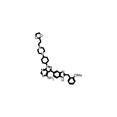 COc1ccccc1Cc1nc2cc(-c3nn(C4CCC(N5CCN(CCC6OCCO6)CC5)CC4)c4ncnc(N)c34)ccc2[nH]1